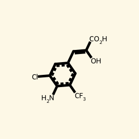 Nc1c(Cl)cc(C=C(O)C(=O)O)cc1C(F)(F)F